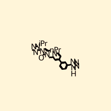 CCCc1cn(-c2ncnn2C(C)C)c(=O)n1Cc1cc(-c2cccc(-c3nnn[nH]3)c2)ccn1